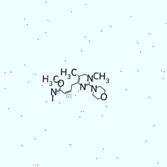 COC(/C=C\CC1=C(C)CN(C)C(N2CCOCC2)=N1)=N/I